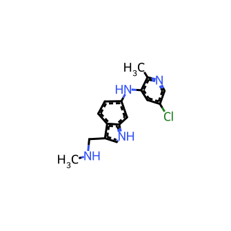 CNCc1c[nH]c2cc(Nc3cc(Cl)cnc3C)ccc12